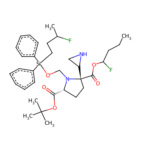 CCCC(F)OC(=O)[C@]1(C2CN2)CC[C@H](C(=O)OC(C)(C)C)N1CO[Si](CCC(C)F)(c1ccccc1)c1ccccc1